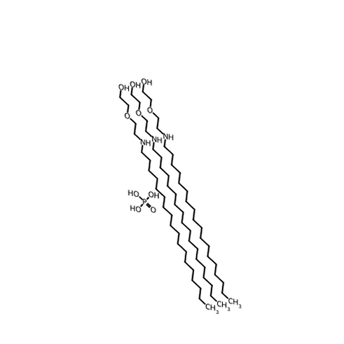 CCCCCCCCCCCCCCCCCCNCCOCCO.CCCCCCCCCCCCCCCCCCNCCOCCO.CCCCCCCCCCCCCCCCCCNCCOCCO.O=P(O)(O)O